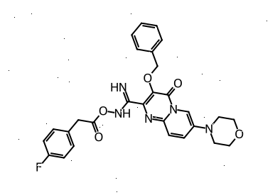 N=C(NOC(=O)Cc1ccc(F)cc1)c1nc2ccc(N3CCOCC3)cn2c(=O)c1OCc1ccccc1